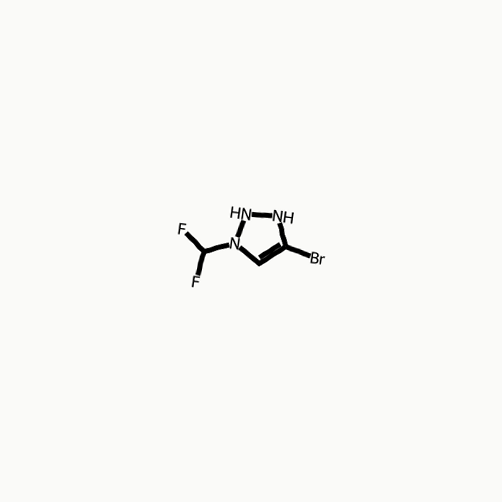 FC(F)N1C=C(Br)NN1